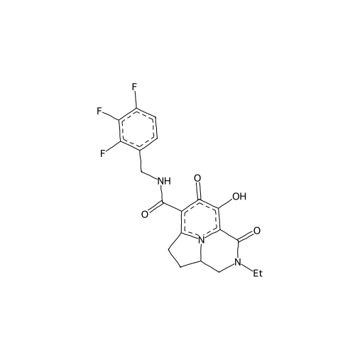 CCN1CC2CCc3c(C(=O)NCc4ccc(F)c(F)c4F)c(=O)c(O)c(n32)C1=O